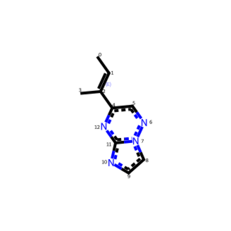 C/C=C(\C)c1cnn2ccnc2n1